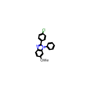 COc1ccc2nc(-c3ccc(Cl)cc3)n(-c3ccccc3)c2c1